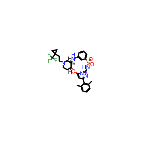 Cc1cccc(C)c1-c1cc2nc(n1)NS(=O)(=O)c1cccc(c1)N[C@@H]1CN(CCC3(C(F)(F)F)CC3)CC[C@H]1O2